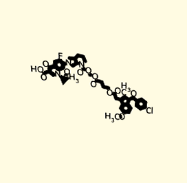 COc1ccc2c(c1)C(CC(=O)OCCCC(=O)OCOC(=O)N1CCCC3CN(c4c(F)cc5c(=O)c(C(=O)O)cn(C6CC6)c5c4OC)CC31)=C(C)C2C(=O)c1ccc(Cl)cc1